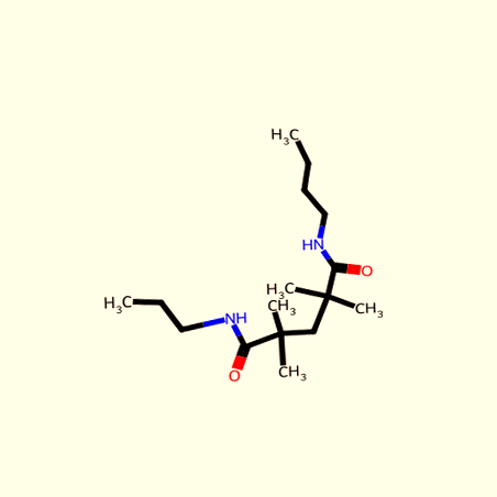 CCCCNC(=O)C(C)(C)CC(C)(C)C(=O)NCCC